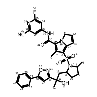 Cc1c(S(=O)(=O)N2C(C)CCC2CC(C)(O)c2cc(-c3ccccc3)on2)c2n(c1C(=O)Nc1cc(F)nc(C#N)c1)CC=C2